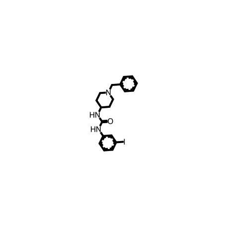 O=C(Nc1cccc(I)c1)NC1CCN(Cc2ccccc2)CC1